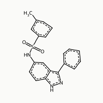 Cc1cccc(S(=O)(=O)Nc2ccc3[nH]nc(-c4ccccc4)c3c2)c1